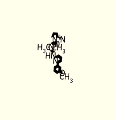 COc1cccc(-c2cccc(NCC[N+](C)(C)CC(=O)N3CCC[C@H]3C#N)n2)c1